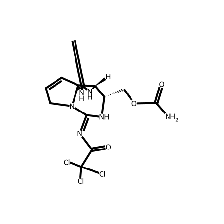 C=C1N[C@H]2[C@H](COC(N)=O)N/C(=N\C(=O)C(Cl)(Cl)Cl)N3CC=C[C@]23N1